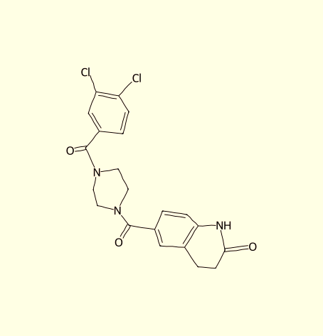 O=C1CCc2cc(C(=O)N3CCN(C(=O)c4ccc(Cl)c(Cl)c4)CC3)ccc2N1